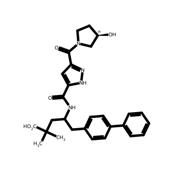 CC(C)(CC(Cc1ccc(-c2ccccc2)cc1)NC(=O)c1cc(C(=O)N2CC[C@@H](O)C2)n[nH]1)C(=O)O